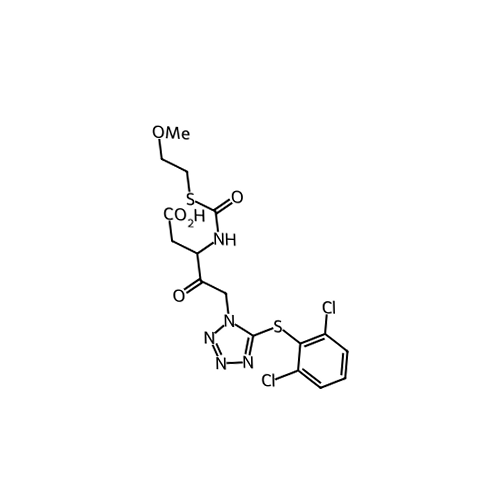 COCCSC(=O)NC(CC(=O)O)C(=O)Cn1nnnc1Sc1c(Cl)cccc1Cl